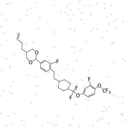 C=CCCC1COC(c2ccc(CCC3CCC(C(F)(F)Oc4ccc(OC(F)(F)F)c(F)c4)CC3)c(F)c2)OC1